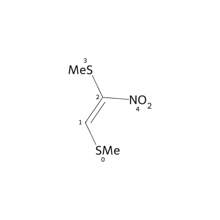 CSC=C(SC)[N+](=O)[O-]